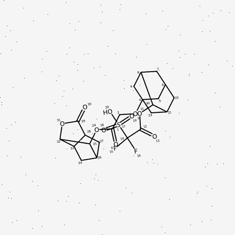 O=C(COC12CC3CC(C1)C(OC(=O)C(F)(F)S(=O)(=O)O)C(C3)C2)OC1C2CC3C(=O)OC1C3C2